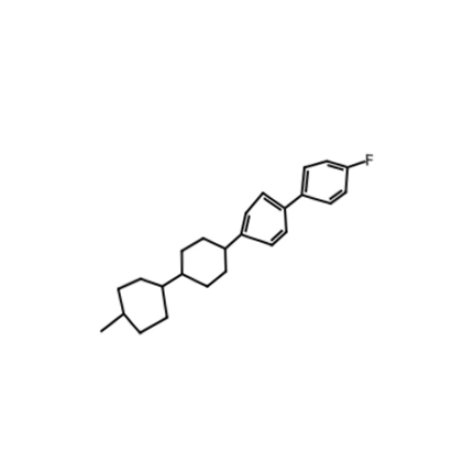 CC1CCC(C2CCC(c3ccc(-c4ccc(F)cc4)cc3)CC2)CC1